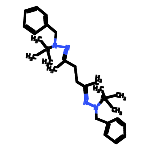 C/C(CC/C(C)=N/N(Cc1ccccc1)[Si](C)(C)C)=N\N(Cc1ccccc1)[Si](C)(C)C